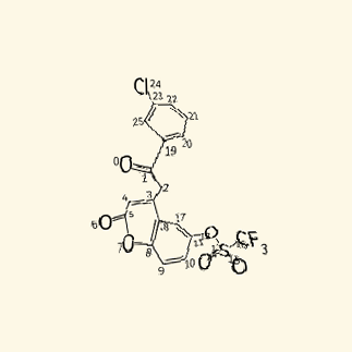 O=C(Cc1cc(=O)oc2ccc(OS(=O)(=O)C(F)(F)F)cc12)c1cccc(Cl)c1